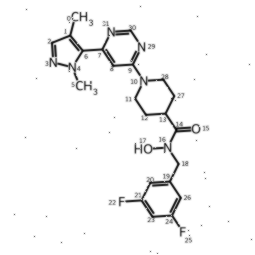 Cc1cnn(C)c1-c1cc(N2CCC(C(=O)N(O)Cc3cc(F)cc(F)c3)CC2)ncn1